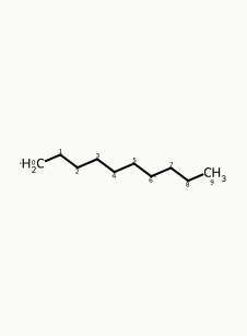 [CH2]CCCCC[CH]CCC